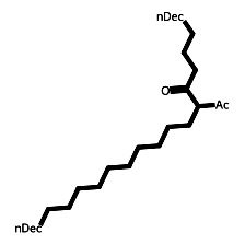 CCCCCCCCCCCCCCCCCCCCC(C(C)=O)C(=O)CCCCCCCCCCCCC